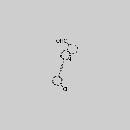 O=CC1CCCc2nc(C#Cc3cccc(Cl)c3)ccc21